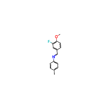 COc1ccc(/C=N/c2ccc(C)cc2)cc1F